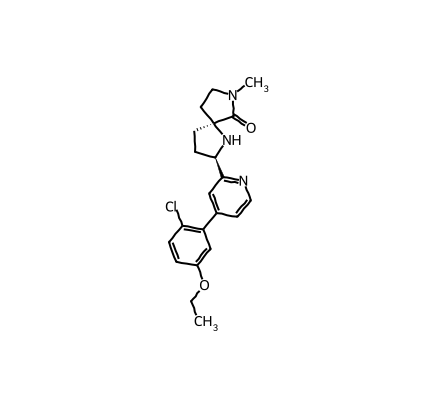 CCOc1ccc(Cl)c(-c2ccnc([C@H]3CC[C@@]4(CCN(C)C4=O)N3)c2)c1